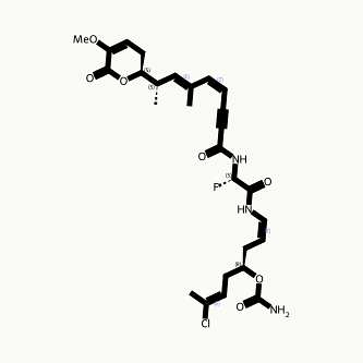 COC1=CC[C@@H]([C@@H](C)/C=C(C)/C=C\C#CC(=O)N[C@@H](F)C(=O)N/C=C\C[C@H](C/C=C(\C)Cl)OC(N)=O)OC1=O